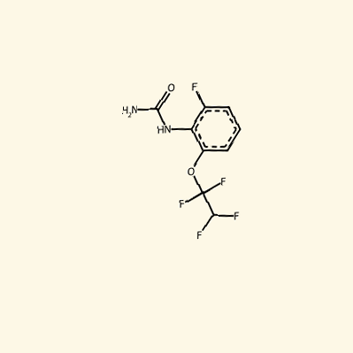 NC(=O)Nc1c(F)cccc1OC(F)(F)C(F)F